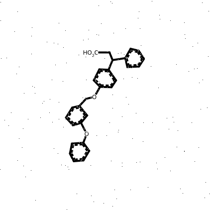 O=C(O)CC(c1ccccc1)c1ccc(OCc2cccc(Oc3ccccc3)c2)cc1